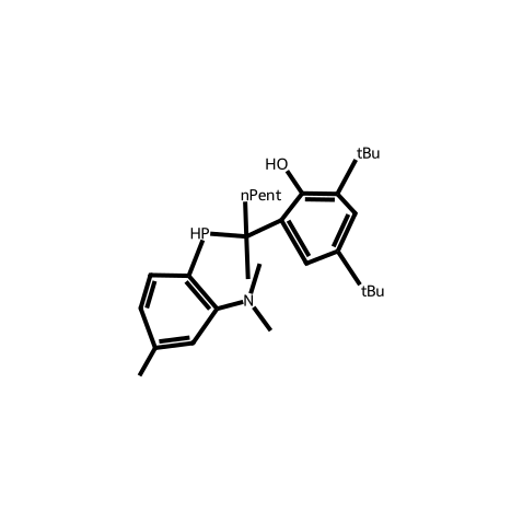 CCCCCC(C)(Pc1ccc(C)cc1N(C)C)c1cc(C(C)(C)C)cc(C(C)(C)C)c1O